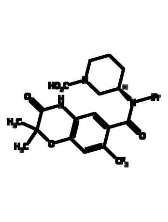 CC(C)N(C(=O)c1cc2c(cc1C(F)(F)F)OC(C)(C)C(=O)N2)[C@@H]1CCCN(C(=O)O)C1